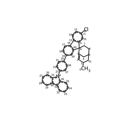 CC1C=C2CC(CCC23c2cc(Cl)ccc2-c2ccc(-c4ccc(-n5c6ccccc6c6ccccc65)cc4)cc23)C1